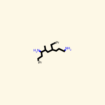 CC(C)CCC(N)C(C)CC(CCCN)CC(C)C